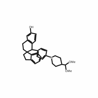 COC(OC)C1CCN(c2ccc(C3c4ccc(O)cc4CCC34CCc3ccccc34)cc2)CC1